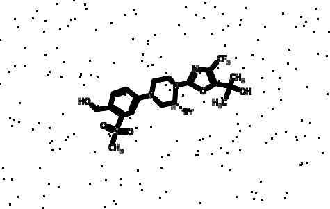 CC(C)[C@@H]1CN(c2ccc(CO)c(S(C)(=O)=O)c2)CCN1c1nc(C(F)(F)F)c(C(C)(C)O)o1